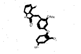 COc1cc(Oc2ccc(C#N)cc2C(F)(F)F)ccc1C=C1C(=O)Nc2cccc(F)c21